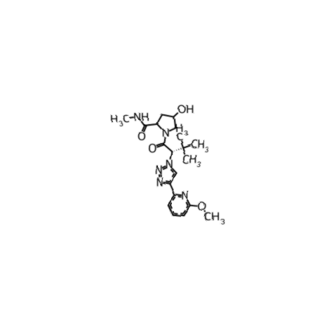 CNC(=O)C1CC(O)CN1C(=O)[C@@H](n1cc(-c2cccc(OC)n2)nn1)C(C)(C)C